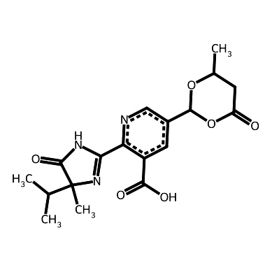 CC1CC(=O)OC(c2cnc(C3=NC(C)(C(C)C)C(=O)N3)c(C(=O)O)c2)O1